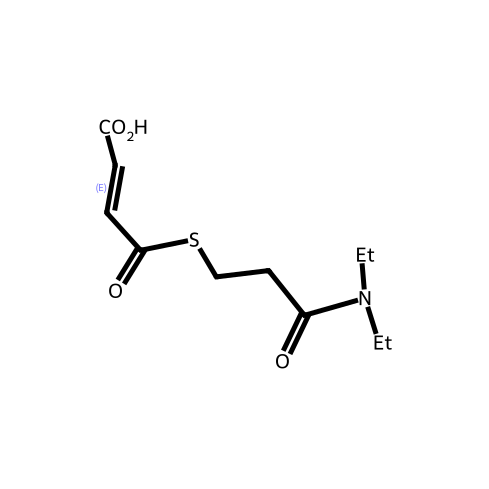 CCN(CC)C(=O)CCSC(=O)/C=C/C(=O)O